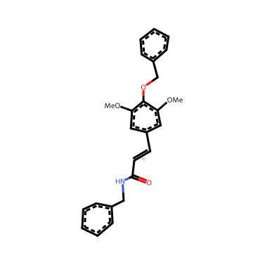 COc1cc(/C=C/C(=O)NCc2ccccc2)cc(OC)c1OCc1ccccc1